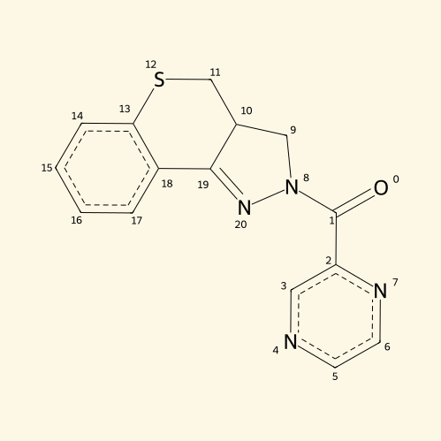 O=C(c1cnccn1)N1CC2CSc3ccccc3C2=N1